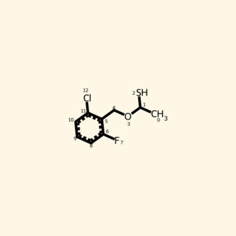 CC(S)OCc1c(F)cccc1Cl